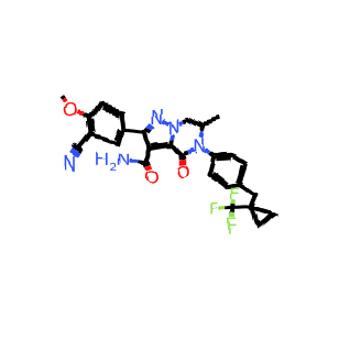 COc1ccc(-c2nn3c(c2C(N)=O)C(=O)N(c2ccc(CC4(C(F)(F)F)CC4)cc2)C(C)C3)cc1C#N